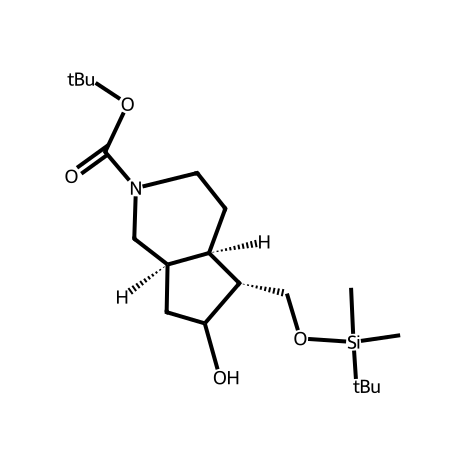 CC(C)(C)OC(=O)N1CC[C@@H]2[C@@H](CC(O)[C@H]2CO[Si](C)(C)C(C)(C)C)C1